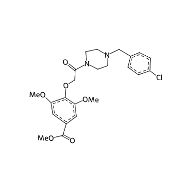 COC(=O)c1cc(OC)c(OCC(=O)N2CCN(Cc3ccc(Cl)cc3)CC2)c(OC)c1